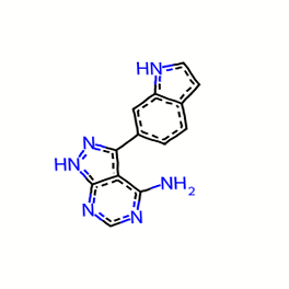 Nc1ncnc2[nH]nc(-c3ccc4cc[nH]c4c3)c12